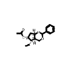 CC[C@H]1[C@@H]2COC(c3ccccc3)O[C@H]2C[C@H]1OC(C)=O